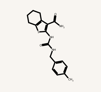 Cc1ccc(CNC(=O)Nc2sc3c(c2C(N)=O)CCCC3)cc1